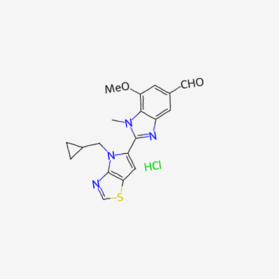 COc1cc(C=O)cc2nc(-c3cc4scnc4n3CC3CC3)n(C)c12.Cl